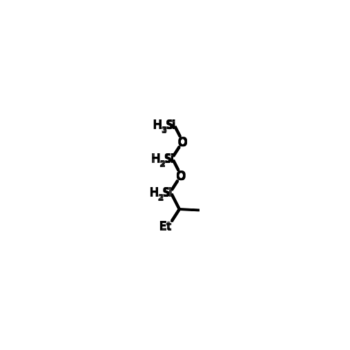 CCC(C)[SiH2]O[SiH2]O[SiH3]